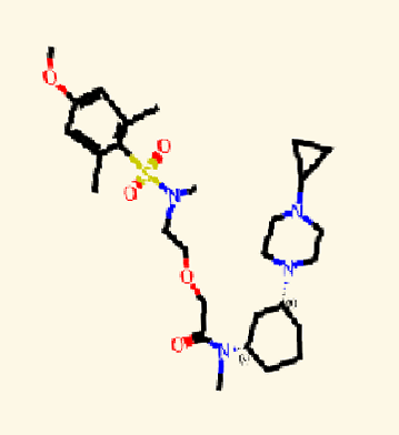 COc1cc(C)c(S(=O)(=O)N(C)CCOCC(=O)N(C)[C@H]2CCC[C@@H](N3CCN(C4CC4)CC3)C2)c(C)c1